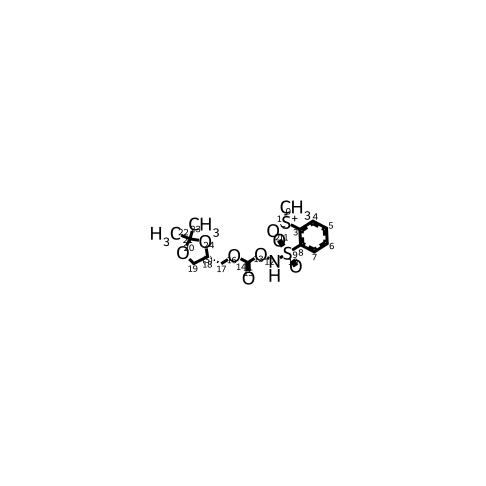 C[S+]([O-])c1ccccc1S(=O)(=O)NOC(=O)OC[C@@H]1COC(C)(C)O1